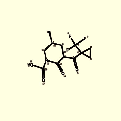 C[C@H]1CC(C(=O)C2(C(F)(F)F)CC2)C(=O)N(C(=O)O)C1